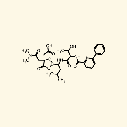 CC(C)CC(NC(=O)C(NC(=O)c1cccc(-c2ccccc2)n1)C(C)O)B1OC(=O)[C@@](CC(=O)O)(CC(=O)N(C)C)O1